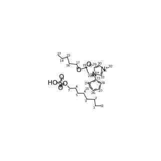 CCCCCCCCOS(=O)(=O)O.CCCCCOC(=O)C[N@+]1(c2ccccc2)C=C[N+](C)=C1